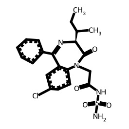 CCC(C)[C@@H]1N=C(c2ccccc2)c2cc(Cl)ccc2N(CC(=O)NS(N)(=O)=O)C1=O